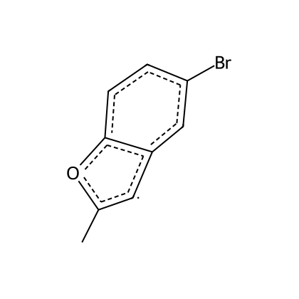 Cc1[c]c2cc(Br)ccc2o1